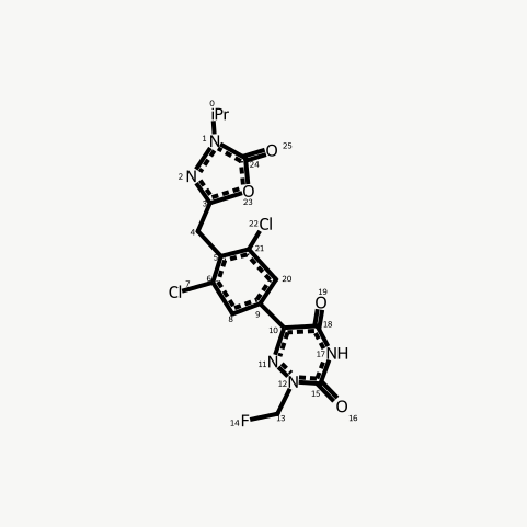 CC(C)n1nc(Cc2c(Cl)cc(-c3nn(CF)c(=O)[nH]c3=O)cc2Cl)oc1=O